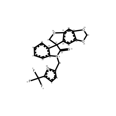 FC(F)(F)c1ccc(CN2C(=S)C3(COc4cc5c(cc43)OCO5)c3ccccc32)o1